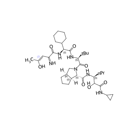 CCC[C@H](NC(=O)[C@@H]1[C@H]2CCC[C@H]2CN1C(=O)[C@@H](NC(=O)[C@@H](NC(=O)C(=N)/C=C(/C)O)C1CCCCC1)C(C)(C)C)C(O)C(=O)NC1CC1